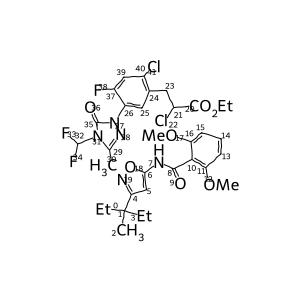 CCC(C)(CC)c1cc(NC(=O)c2c(OC)cccc2OC)on1.CCOC(=O)C(Cl)Cc1cc(-n2nc(C)n(C(F)F)c2=O)c(F)cc1Cl